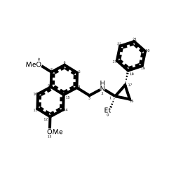 CC[C@@]1(NCc2ccc(OC)c3ccc(OC)cc23)C[C@H]1c1ccccc1